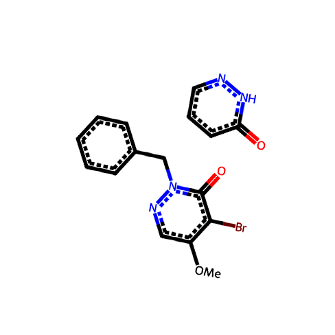 COc1cnn(Cc2ccccc2)c(=O)c1Br.O=c1cccn[nH]1